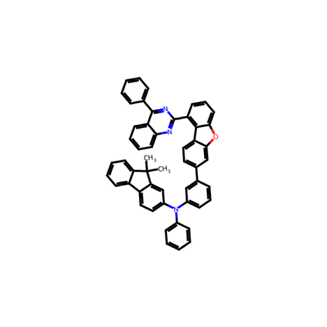 CC1(C)c2ccccc2-c2ccc(N(c3ccccc3)c3cccc(-c4ccc5c(c4)oc4cccc(-c6nc(-c7ccccc7)c7ccccc7n6)c45)c3)cc21